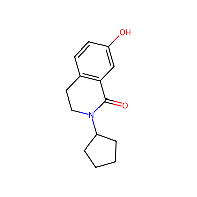 O=C1c2cc(O)ccc2CCN1C1CCCC1